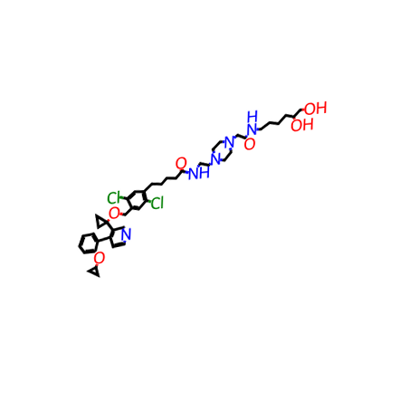 O=C(CCCCc1cc(Cl)c(COC2(c3cnccc3-c3ccccc3OC3CC3)CC2)cc1Cl)NCCN1CCN(CC(=O)NCCCCC(O)CO)CC1